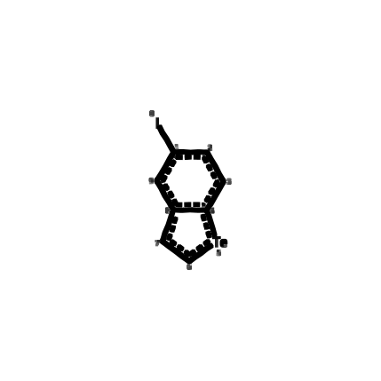 Ic1ccc2[te]ccc2c1